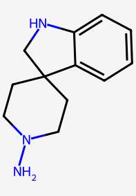 NN1CCC2(CC1)CNc1ccccc12